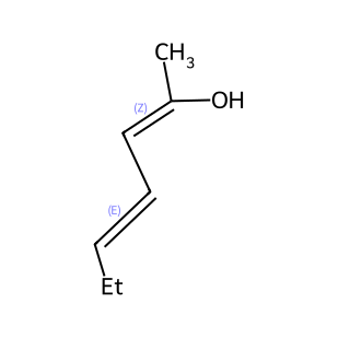 CC/C=C/C=C(/C)O